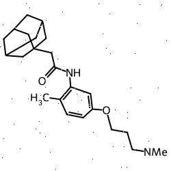 CNCCCOc1ccc(C)c(NC(=O)CC23CC4CC(CC(C4)C2)C3)c1